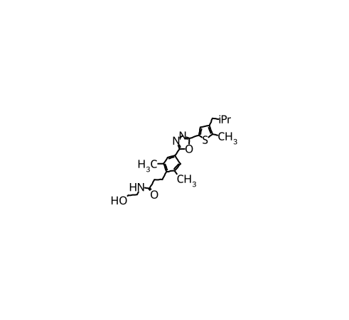 Cc1cc(-c2nnc(-c3cc(CC(C)C)c(C)s3)o2)cc(C)c1CCC(=O)NCCO